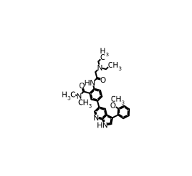 CCN(CC)CC(=O)Nc1ccc(-c2cnc3[nH]cc(-c4ccccc4OC)c3c2)cc1C(=O)N(C)C